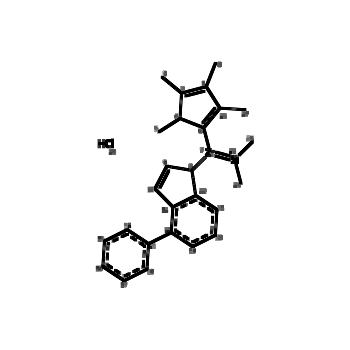 CC1=C(C)C(C)[C]([Zr]([CH]2C=Cc3c(-c4ccccc4)cccc32)=[Si](C)C)=C1C.Cl